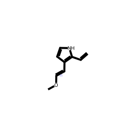 C=Cc1[nH]ccc1/C=C/OC